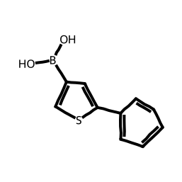 OB(O)c1csc(-c2ccccc2)c1